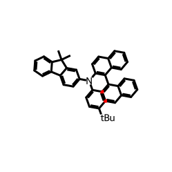 CC(C)(C)c1ccc(N(c2ccc3c(c2)C(C)(C)c2ccccc2-3)c2ccc3ccccc3c2-c2cccc3ccccc23)cc1